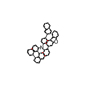 c1ccc(-c2cccc3cccc(-c4ccccc4N(c4ccc(-c5ccc6ccccc6c5)cc4)c4ccccc4-c4ccc5c(c4)oc4ccccc45)c23)cc1